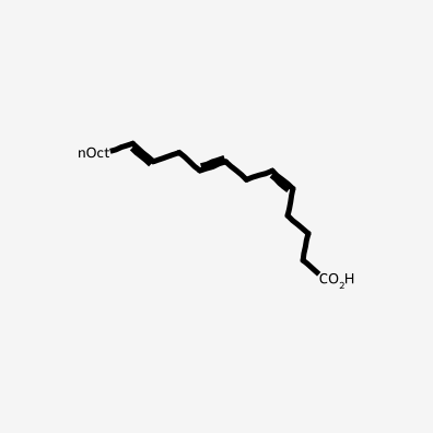 CCCCCCCCC=CCC=CC/C=C\CCCC(=O)O